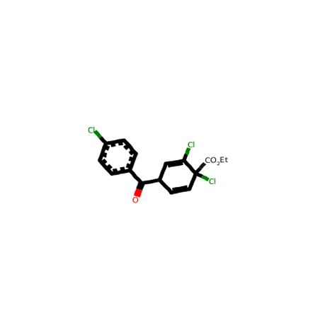 CCOC(=O)C1(Cl)C=CC(C(=O)c2ccc(Cl)cc2)C=C1Cl